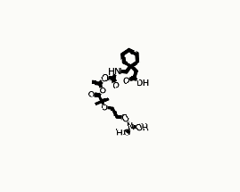 CC(OC(=O)NCC1(CC(=O)O)CCCCC1)OC(=O)C(C)(C)OCCON(O)O